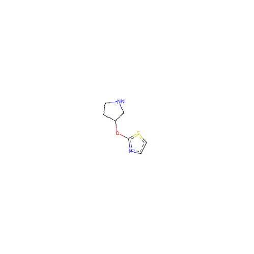 c1csc(OC2CCNC2)n1